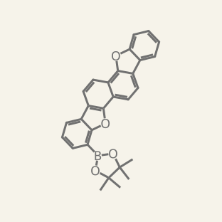 CC1(C)OB(c2cccc3c2oc2c3ccc3c2ccc2c4ccccc4oc23)OC1(C)C